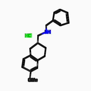 COc1ccc2c(c1)CCC(CNCc1ccccc1)C2.Cl